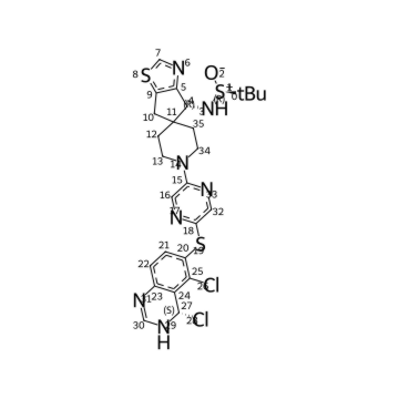 CC(C)(C)[S@+]([O-])N[C@H]1c2ncsc2CC12CCN(c1cnc(Sc3ccc4c(c3Cl)[C@H](Cl)NC=N4)cn1)CC2